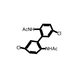 CC(=O)Nc1ccc(Cl)cc1-c1cc(Cl)ccc1NC(C)=O